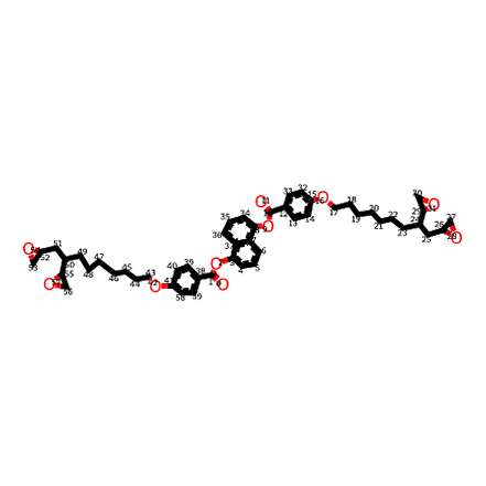 O=C(Oc1cccc2c(OC(=O)c3ccc(OCCCCCCCC(CC4CO4)C4CO4)cc3)cccc12)c1ccc(OCCCCCCCC(CC2CO2)C2CO2)cc1